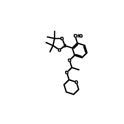 CC(Oc1cccc(C=O)c1B1OC(C)(C)C(C)(C)O1)OC1CCCCO1